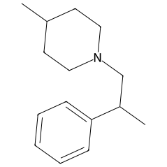 CC1CCN(CC(C)c2ccccc2)CC1